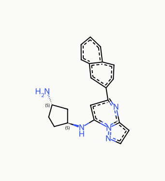 N[C@H]1CC[C@H](Nc2cc(-c3ccc4ccccc4c3)nc3ccnn23)C1